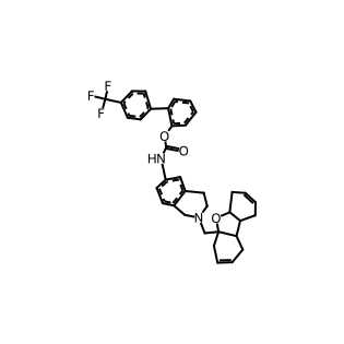 O=C(Nc1ccc2c(c1)CCN(CC13CC=CCC1C1CC=CCC1O3)C2)Oc1ccccc1-c1ccc(C(F)(F)F)cc1